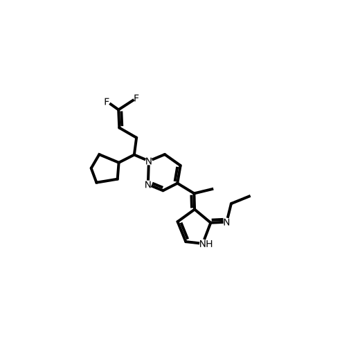 CC/N=C1/NC=C/C1=C(/C)C1=CCN(C(CC=C(F)F)C2CCCC2)N=C1